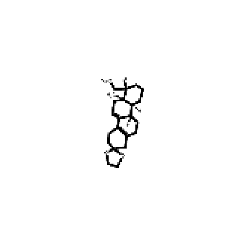 COCC1(O)CCC[C@H]2[C@@H]3CCC4=C(CCC5(C4)OCCO5)C3=CC[C@@]21C